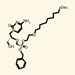 CCCCCCCCCCCCCCCCCCOCCO[P@@](=O)(CO[C@H](CO)Cn1ccc(N)nc1=O)OCc1ccccc1